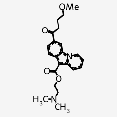 COCCCC(=O)c1ccc2c(C(=O)OCCN(C)C)c3ccccn3c2c1